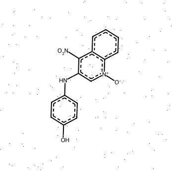 O=[N+]([O-])c1c(Nc2ccc(O)cc2)c[n+]([O-])c2ccccc12